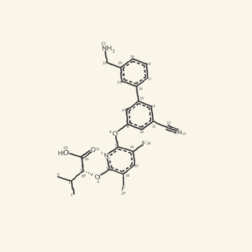 CC(C)[C@@H](Oc1nc(Oc2cc(C#N)cc(-c3cccc(CN)c3)c2)c(F)cc1F)C(=O)O